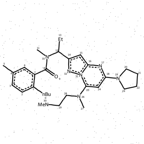 CCCCc1ccc(C)cc1C(=O)N(C)C(CC)c1cc2nc(N3CCCC3)cc(N(C)CCNC)n2n1